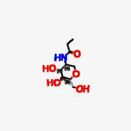 CCC(=O)N[C@H]1CO[C@H](CO)[C@@H](O)[C@@H]1O